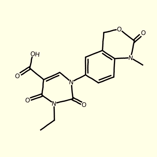 CCn1c(=O)c(C(=O)O)cn(-c2ccc3c(c2)COC(=O)N3C)c1=O